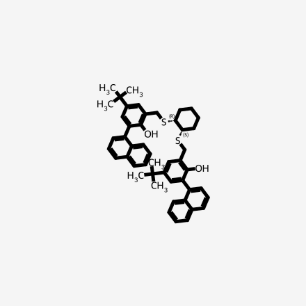 CC(C)(C)c1cc(CS[C@H]2CCCC[C@H]2SCc2cc(C(C)(C)C)cc(-c3cccc4ccccc34)c2O)c(O)c(-c2cccc3ccccc23)c1